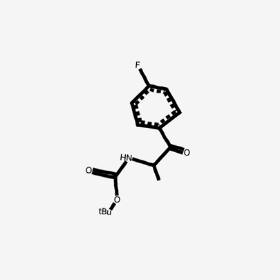 CC(NC(=O)OC(C)(C)C)C(=O)c1ccc(F)cc1